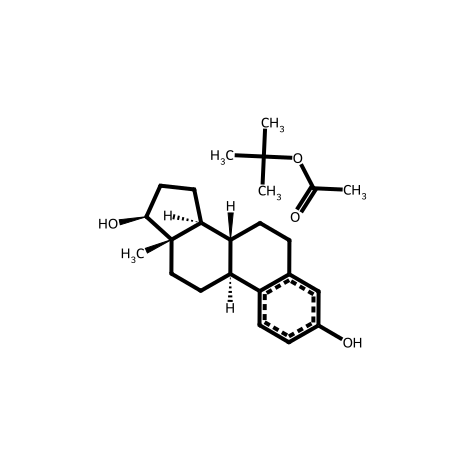 CC(=O)OC(C)(C)C.C[C@]12CC[C@@H]3c4ccc(O)cc4CC[C@H]3[C@@H]1CC[C@@H]2O